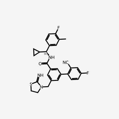 Cc1cc([C@@H](NC(=O)c2cc(CN3CCSC3=N)cc(-c3ccc(F)cc3C#N)c2)C2CC2)ccc1F